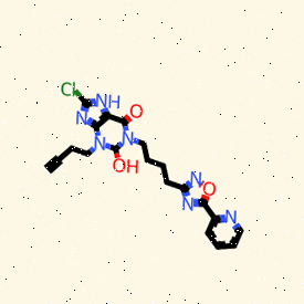 C#CCCN1c2nc(Cl)[nH]c2C(=O)N(CCCCc2noc(-c3ccccn3)n2)C1O